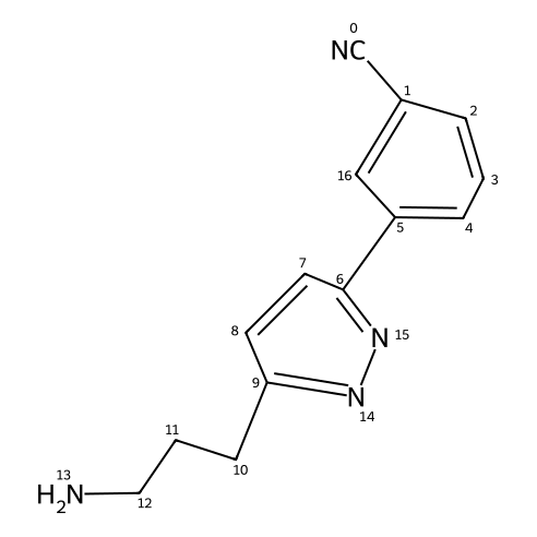 N#Cc1cccc(-c2ccc(CCCN)nn2)c1